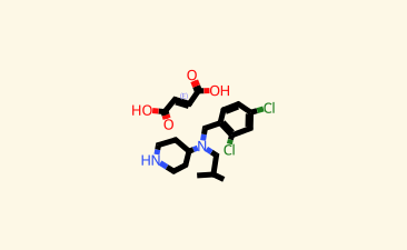 CC(C)CN(Cc1ccc(Cl)cc1Cl)C1CCNCC1.O=C(O)/C=C/C(=O)O